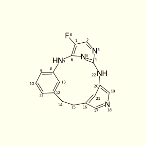 Fc1cnc2nc1Nc1cccc(c1)CCc1cncc(c1)N2